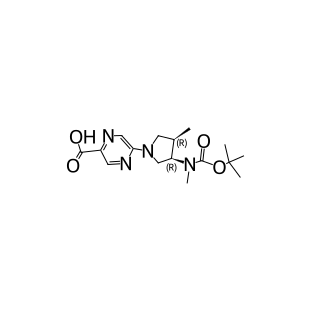 C[C@@H]1CN(c2cnc(C(=O)O)cn2)C[C@@H]1N(C)C(=O)OC(C)(C)C